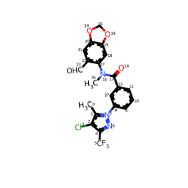 Cc1c(Cl)c(C(F)(F)F)nn1-c1cccc(C(=O)N(C)c2cc3c(cc2C=O)OCO3)c1